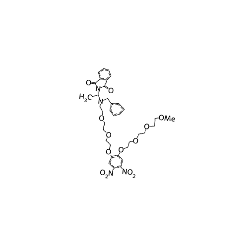 COCCOCCOCCOc1cc([N+](=O)[O-])c([N+](=O)[O-])cc1OCCOCCOCCN(Cc1ccccc1)C(C)N1C(=O)c2ccccc2C1=O